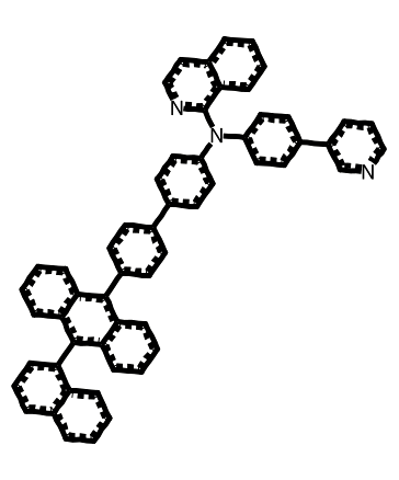 c1cncc(-c2ccc(N(c3ccc(-c4ccc(-c5c6ccccc6c(-c6cccc7ccccc67)c6ccccc56)cc4)cc3)c3nccc4ccccc34)cc2)c1